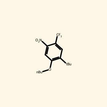 CCCCOc1cc([N+](=O)[O-])c(C(F)(F)F)cc1C(C)(C)C